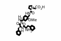 COc1cc(C(N)=NC(=O)[C@H](Cc2ccccc2)NC(=O)[C@@H](N)Cc2ccccc2)ccc1CNC(=O)[C@@H]1CCCN1CC(=O)O